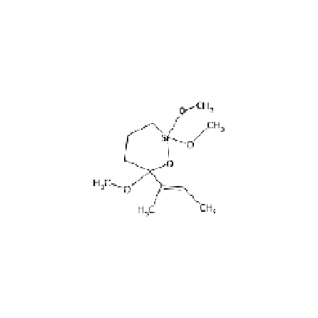 CC=C(C)C1(OC)CCC[Si](OC)(OC)O1